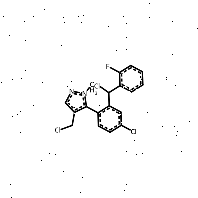 Cn1ncc(CCl)c1-c1ccc(Cl)cc1C(Cl)c1ccccc1F